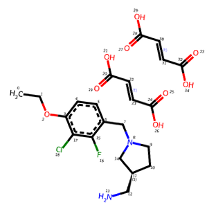 CCOc1ccc(CN2CC[C@@H](CN)C2)c(F)c1Cl.O=C(O)/C=C/C(=O)O.O=C(O)/C=C/C(=O)O